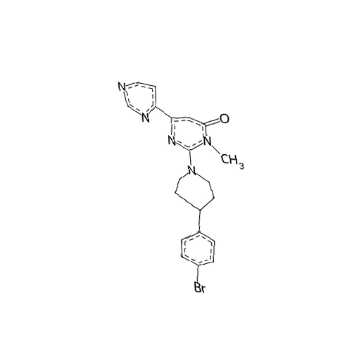 Cn1c(N2CCC(c3ccc(Br)cc3)CC2)nc(-c2ccncn2)cc1=O